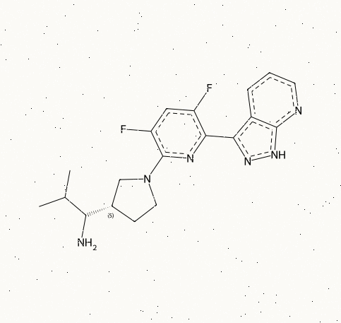 CC(C)C(N)[C@H]1CCN(c2nc(-c3n[nH]c4ncccc34)c(F)cc2F)C1